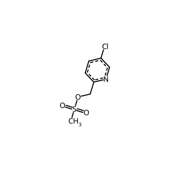 CS(=O)(=O)OCc1ccc(Cl)cn1